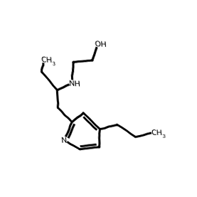 CCCc1ccnc(CC(CC)NCCO)c1